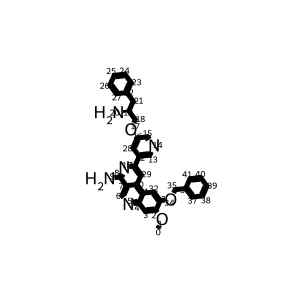 COc1cc2ncc3c(N)nc(-c4cncc(OC[C@@H](N)Cc5ccccc5)c4)cc3c2cc1OCc1ccccc1